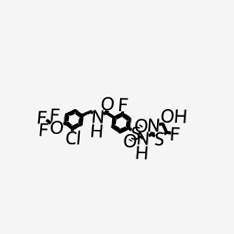 O=C(NCc1ccc(OC(F)(F)F)c(Cl)c1)c1ccc(S(=O)(=O)NC2=NC(O)C(F)S2)cc1F